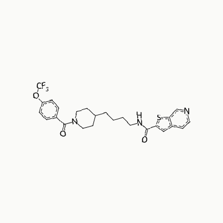 O=C(NCCCCC1CCN(C(=O)c2ccc(OC(F)(F)F)cc2)CC1)c1cc2ccncc2s1